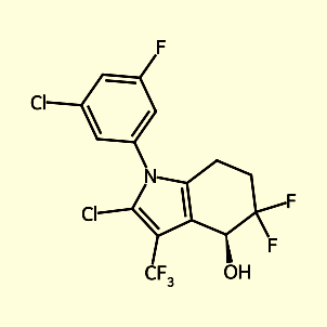 O[C@H]1c2c(C(F)(F)F)c(Cl)n(-c3cc(F)cc(Cl)c3)c2CCC1(F)F